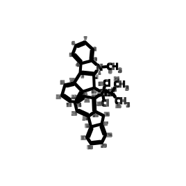 Cn1c2c(c3ccccc31)-c1ccccc1[CH]2[Zr]([Cl])([Cl])([c]1cccc2c1Cc1ccccc1-2)[SiH](C)C